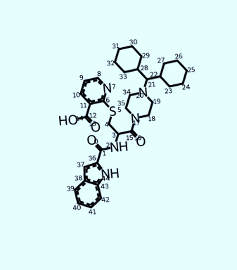 O=C(NC(CSc1ncccc1C(=O)O)C(=O)N1CCN(C(C2CCCCC2)C2CCCCC2)CC1)c1cc2ccccc2[nH]1